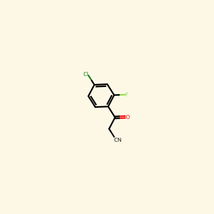 N#CCC(=O)c1ccc(Cl)cc1F